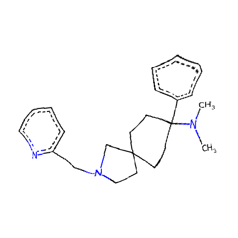 CN(C)C1(c2ccccc2)CCC2(CCN(Cc3ccccn3)C2)CC1